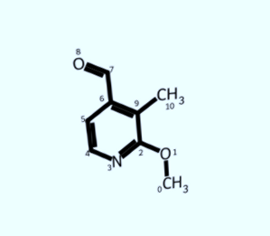 COc1nccc(C=O)c1C